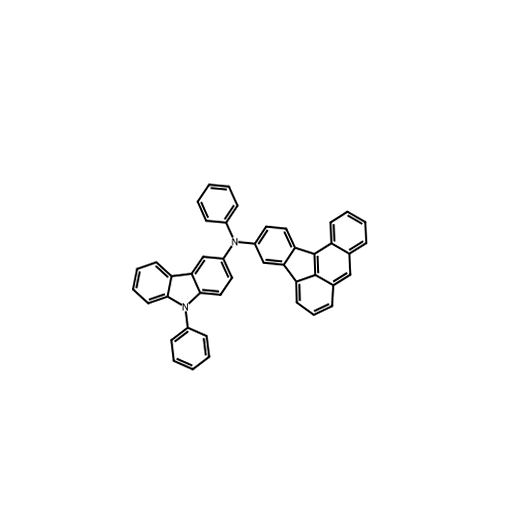 c1ccc(N(c2ccc3c(c2)-c2cccc4cc5ccccc5c-3c24)c2ccc3c(c2)c2ccccc2n3-c2ccccc2)cc1